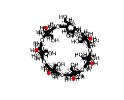 OC[C@H]1O[C@@H]2O[C@H]3[C@H](O)[C@@H](O)[C@@H](O[C@H]4[C@H](O)[C@@H](O)[C@@H](O[C@H]5[C@H](O)[C@@H](O)[C@@H](O[C@H]6[C@H](O)[C@@H](O)[C@@H](O[C@H]7[C@H](O)[C@@H](O)[C@@H](O[C@H]8[C@H](O)[C@@H](O)[C@@H](O[C@H]1[C@H](O)[C@H]2O)O[C@@H]8CO)O[C@@H]7CO)O[C@@H]6CO)O[C@@H]5CO)O[C@@H]4CO)O[C@@H]3CO.[Cu]